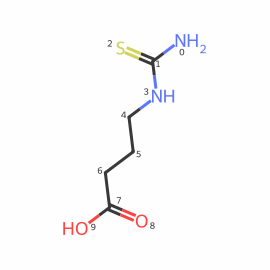 NC(=S)NCCCC(=O)O